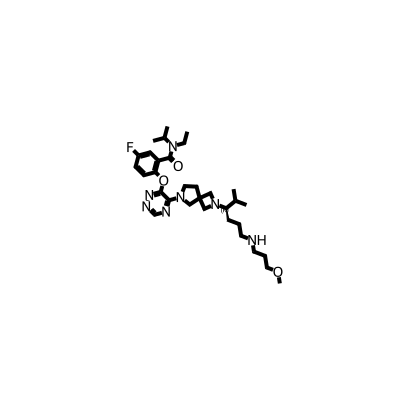 CCN(C(=O)c1cc(F)ccc1Oc1nncnc1N1CCC2(C1)CN([C@H](CCCNCCCOC)C(C)C)C2)C(C)C